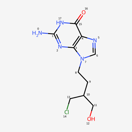 Nc1nc2c(ncn2CCC(CO)CCl)c(=O)[nH]1